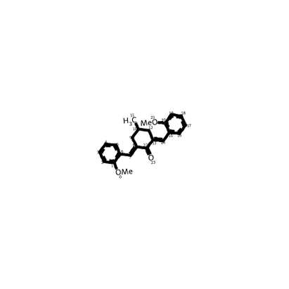 COc1ccccc1/C=C1\CC(C)C/C(=C\c2ccccc2OC)C1=O